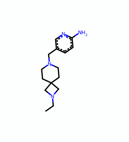 CCN1CC2(CCN(Cc3ccc(N)nc3)CC2)C1